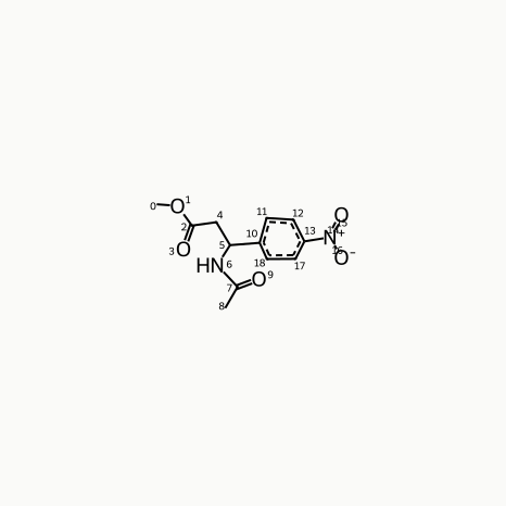 COC(=O)CC(NC(C)=O)c1ccc([N+](=O)[O-])cc1